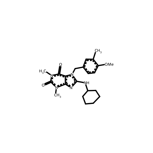 COc1ccc(Cn2c(NC3CCCCC3)nc3c2c(=O)n(C)c(=O)n3C)cc1C